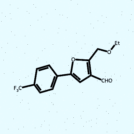 CCOCc1oc(-c2ccc(C(F)(F)F)cc2)cc1C=O